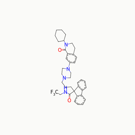 O=C1c2cc(N3CCN(CCCC4(C(=O)NCC(F)(F)F)c5ccccc5-c5ccccc54)CC3)ccc2CCN1C1CCCCC1